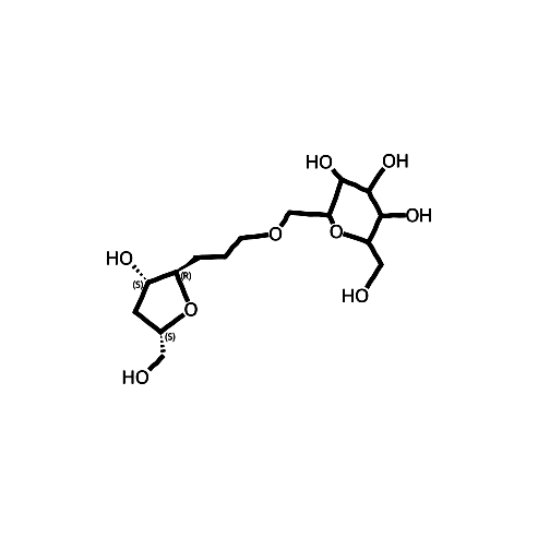 OCC1OC(COCCC[C@H]2O[C@H](CO)C[C@@H]2O)C(O)C(O)C1O